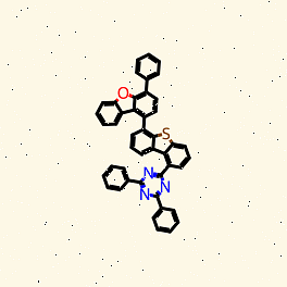 c1ccc(-c2nc(-c3ccccc3)nc(-c3cccc4sc5c(-c6ccc(-c7ccccc7)c7oc8ccccc8c67)cccc5c34)n2)cc1